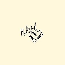 [CaH2].[InH3].[O]=[Zr]